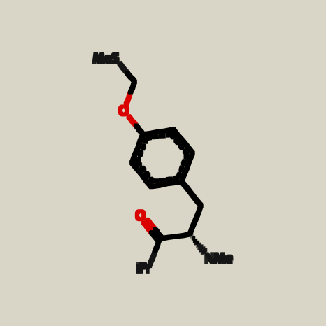 CN[C@@H](Cc1ccc(OCSC)cc1)C(=O)C(C)C